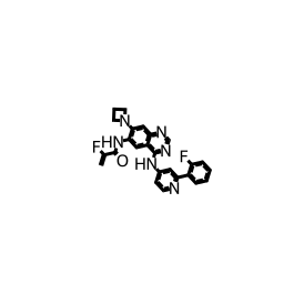 C=C(F)C(=O)Nc1cc2c(Nc3ccnc(-c4ccccc4F)c3)ncnc2cc1N1CCC1